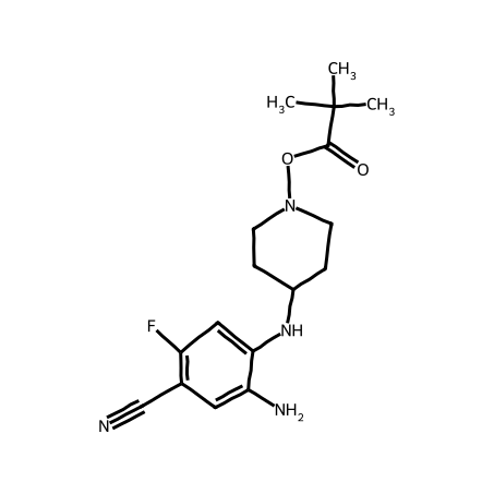 CC(C)(C)C(=O)ON1CCC(Nc2cc(F)c(C#N)cc2N)CC1